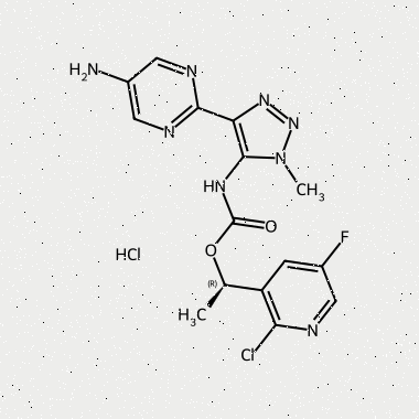 C[C@@H](OC(=O)Nc1c(-c2ncc(N)cn2)nnn1C)c1cc(F)cnc1Cl.Cl